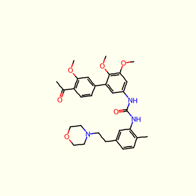 COc1cc(-c2cc(NC(=O)Nc3cc(CCN4CCOCC4)ccc3C)cc(OC)c2OC)ccc1C(C)=O